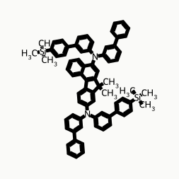 CC1(C)c2cc(N(c3cccc(-c4ccccc4)c3)c3cccc(-c4ccc([Si](C)(C)C)cc4)c3)ccc2-c2c1cc(N(c1cccc(-c3ccccc3)c1)c1cccc(-c3ccc([Si](C)(C)C)cc3)c1)c1ccccc21